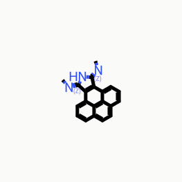 C/N=c1\[nH]/c(=N\C)c2c3cccc4ccc5cccc(c12)c5c43